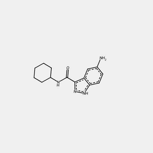 Nc1ccc2[nH]nc(C(=O)NC3CCCCC3)c2c1